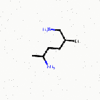 CC[C@H](CN)CCC(C)N